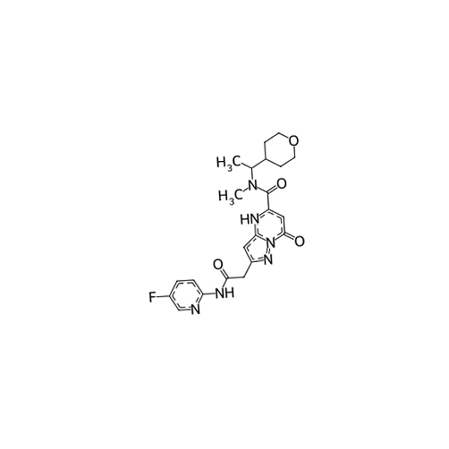 CC(C1CCOCC1)N(C)C(=O)c1cc(=O)n2nc(CC(=O)Nc3ccc(F)cn3)cc2[nH]1